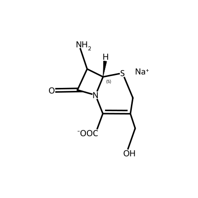 NC1C(=O)N2C(C(=O)[O-])=C(CO)CS[C@@H]12.[Na+]